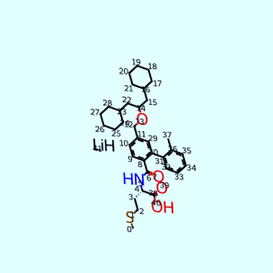 CSCC[C@H](NC(=O)c1ccc(COC(CC2CCCCC2)CC2CCCCC2)cc1-c1ccccc1C)C(=O)O.[LiH]